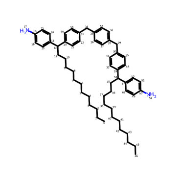 CCCCCCCCCCCCC(c1ccc(N)cc1)c1ccc(Cc2ccc(Cc3ccc(C(CCCCCCCCCCCC)c4ccc(N)cc4)cc3)cc2)cc1